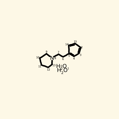 O.O.c1ccc(CCN2CCCCC2)cc1